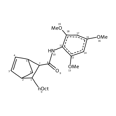 CCCCCCCCC1C2C=CC(C2)C1C(=O)Nc1c(OC)cc(OC)cc1OC